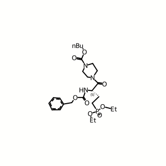 CCCCOC(=O)N1CCN(C(=O)[C@H](CCP(=O)(OCC)OCC)NC(=O)OCc2ccccc2)CC1